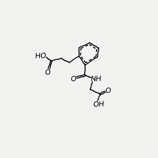 O=C(O)CCc1ccccc1C(=O)NCC(=O)O